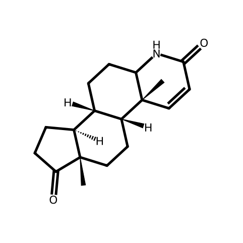 C[C@]12C=CC(=O)NC1CC[C@@H]1[C@H]2CC[C@]2(C)C(=O)CC[C@@H]12